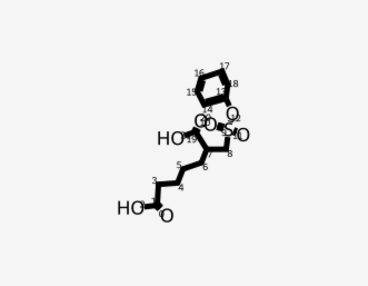 O=C(O)CCCCC(CS(=O)(=O)Oc1ccccc1)C(=O)O